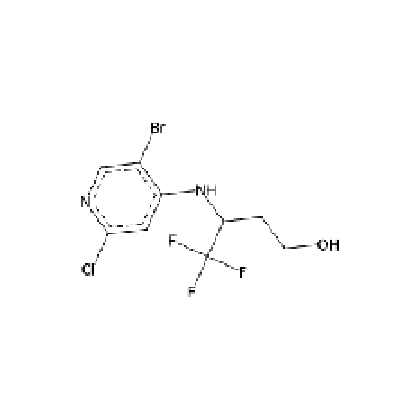 OCCC(Nc1cc(Cl)ncc1Br)C(F)(F)F